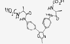 Cc1nc(-c2ccc(NC(=O)[C@H](C)NC(=O)O)cc2)c(-c2ccc(NC(=O)[C@H](C)NC(=O)O)cc2)o1